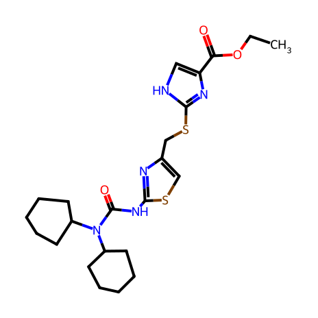 CCOC(=O)c1c[nH]c(SCc2csc(NC(=O)N(C3CCCCC3)C3CCCCC3)n2)n1